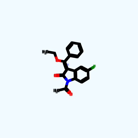 CCO/C(=C1\C(=O)N(C(C)=O)c2ccc(F)cc21)c1ccccc1